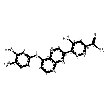 COc1nc(Nc2ccnc3nc(-c4nnc(C(N)=O)cc4C(F)(F)F)cnc23)ccc1C(F)(F)F